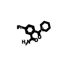 CC(C)c1ccc(C(=O)N2CCCCC2)c(C(N)=O)c1